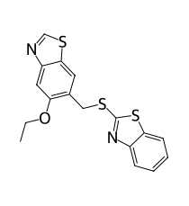 CCOc1cc2ncsc2cc1CSc1nc2ccccc2s1